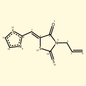 C=CCN1C(=O)C(=Cc2nccs2)SC1=S